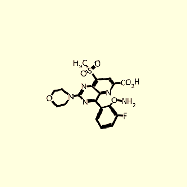 CS(=O)(=O)c1cc(C(=O)O)nc2c(-c3cccc(F)c3ON)nc(N3CCOCC3)nc12